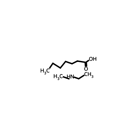 CCCCCCC(=O)O.CCNCC